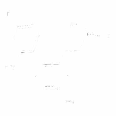 C[SiH](C)OCc1cc(C(C)(C)C)ccc1-c1ccc(F)cc1N